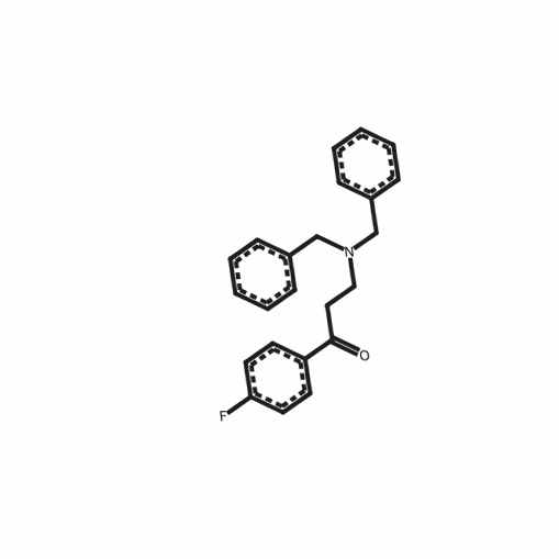 O=C(CCN(Cc1ccccc1)Cc1ccccc1)c1ccc(F)cc1